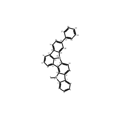 Cn1c2ccccc2c2ccc3c(c4cccc5c6ccc(-c7ccccc7)cc6n3c54)c21